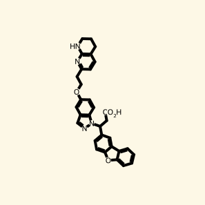 O=C(O)CC(c1ccc2oc3ccccc3c2c1)n1ncc2cc(OCCc3ccc4c(n3)NCCC4)ccc21